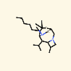 CCCCCC1C2C(C(C)C)C3C(C)CN3CC(CN2C)CC1(C)C